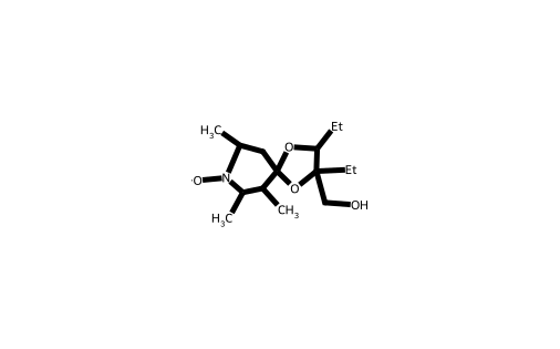 CCC1OC2(CC(C)N([O])C(C)C2C)OC1(CC)CO